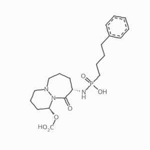 O=C(O)O[C@H]1CCCN2CCC[C@H](NP(=O)(O)CCCCc3ccccc3)C(=O)N12